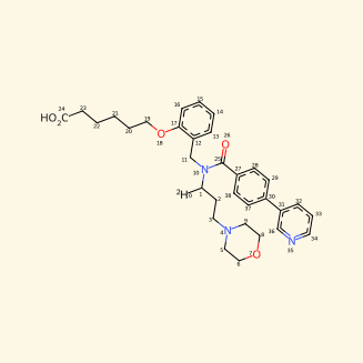 [2H]C(CCN1CCOCC1)N(Cc1ccccc1OCCCCCC(=O)O)C(=O)c1ccc(-c2cccnc2)cc1